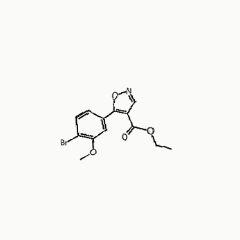 CCOC(=O)c1cnoc1-c1ccc(Br)c(OC)c1